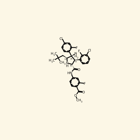 COC(=O)c1ccc(NC(=O)[C@@H]2N[C@@H](CC(C)(C)C)[C@](N)(c3ccc(Cl)cc3F)[C@H]2c2cccc(Cl)c2F)cc1F